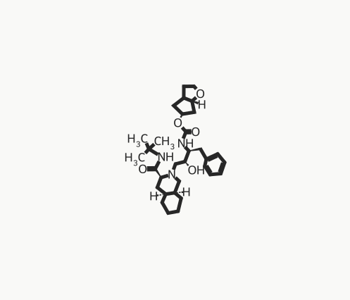 CC(C)(C)NC(=O)[C@@H]1C[C@@H]2CCCC[C@@H]2CN1C[C@@H](O)[C@H](Cc1ccccc1)NC(=O)O[C@@H]1CC2CCO[C@@H]2C1